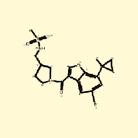 CC1(c2cc(Br)cc3c(C(=O)N4CCC(CNS(C)(=O)=O)C4)coc23)CC1